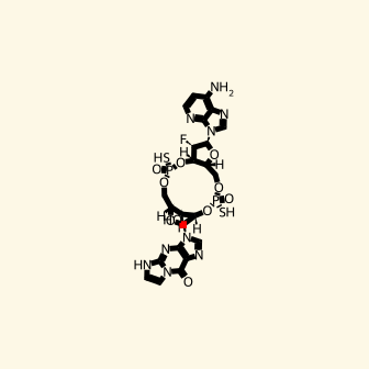 Nc1ccnc2c1ncn2[C@@H]1O[C@@H]2COP(=O)(S)O[C@@H]3[C@H](O)[C@@H](COP(=O)(S)O[C@H]2[C@@H]1F)O[C@H]3n1cnc2c(=O)n3cc[nH]c3nc21